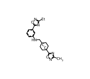 CCc1noc(-c2cccc(NCC34CCC(c5nc(C)no5)(CC3)CC4)c2)n1